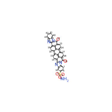 NOS(=O)(=O)c1ccc2c(c1)nc1c3ccc4c5ccc6c7c(ccc(c8ccc(c(=O)n21)c3c84)c57)c(=O)n1c2ccccc2nc61